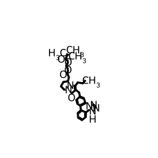 CCCc1c(Cc2ccc(-c3ccccc3-c3nnn[nH]3)cc2)c(=O)n2n1C(CC(=O)OCOC(=O)C(C)(C)C)CCC2